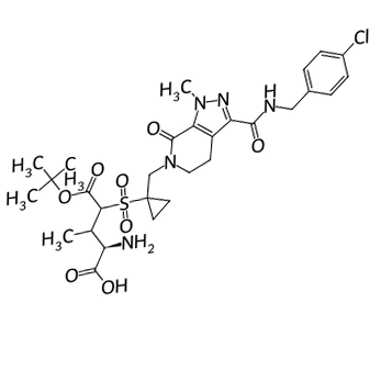 CC(C(C(=O)OC(C)(C)C)S(=O)(=O)C1(CN2CCc3c(C(=O)NCc4ccc(Cl)cc4)nn(C)c3C2=O)CC1)[C@@H](N)C(=O)O